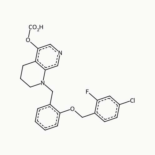 O=C(O)Oc1cncc2c1CCCN2Cc1ccccc1OCc1ccc(Cl)cc1F